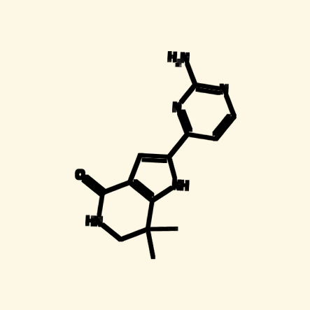 CC1(C)CNC(=O)c2cc(-c3ccnc(N)n3)[nH]c21